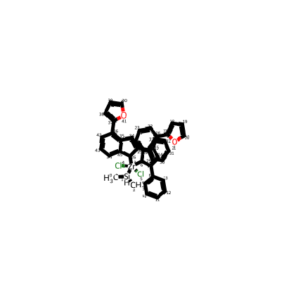 C[SiH](C)[Zr]([Cl])([Cl])([CH]1C(c2ccccc2)=Cc2c(-c3ccco3)cccc21)[CH]1C(c2ccccc2)=Cc2c(-c3ccco3)cccc21